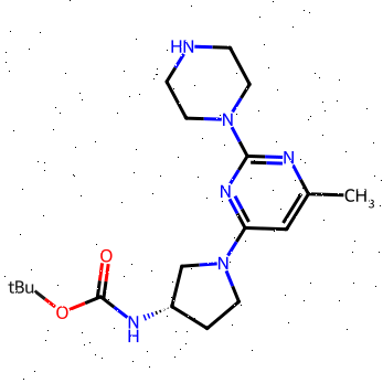 Cc1cc(N2CC[C@H](NC(=O)OC(C)(C)C)C2)nc(N2CCNCC2)n1